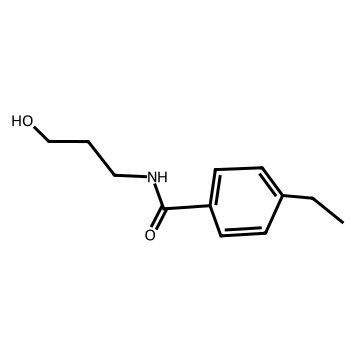 CCc1ccc(C(=O)NCCCO)cc1